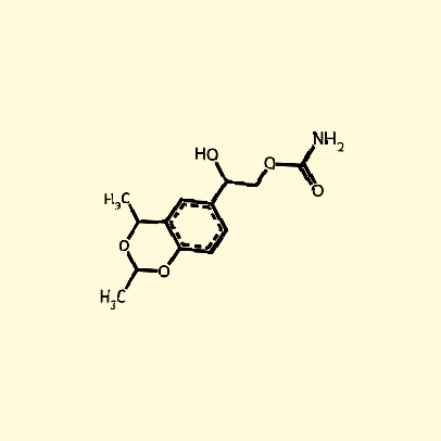 CC1Oc2ccc(C(O)COC(N)=O)cc2C(C)O1